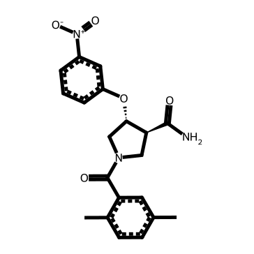 Cc1ccc(C)c(C(=O)N2C[C@H](Oc3cccc([N+](=O)[O-])c3)[C@@H](C(N)=O)C2)c1